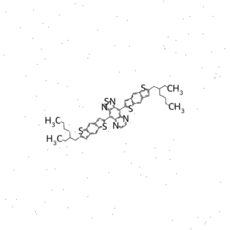 CCCCC(CC)Cc1cc2cc3sc(-c4c5nccnc5c(-c5cc6cc7sc(CC(CC)CCCC)cc7cc6s5)c5nsnc45)cc3cc2s1